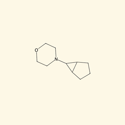 C1CC2C(C1)C2N1CCOCC1